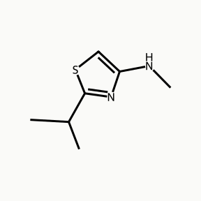 CNc1csc(C(C)C)n1